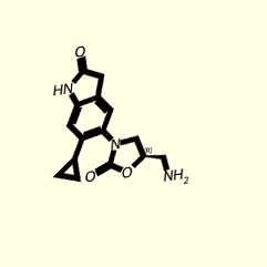 NC[C@@H]1CN(c2cc3c(cc2C2CC2)NC(=O)C3)C(=O)O1